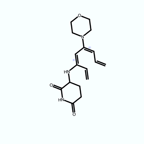 C=C/C=C(\C=C(/C=C)NC1CCC(=O)NC1=O)N1CCOCC1